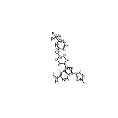 CNc1cc2c(cn1)c(-c1cnn(C)c1)nn2C1CCC(Oc2ccnc(C(F)(F)F)n2)CC1